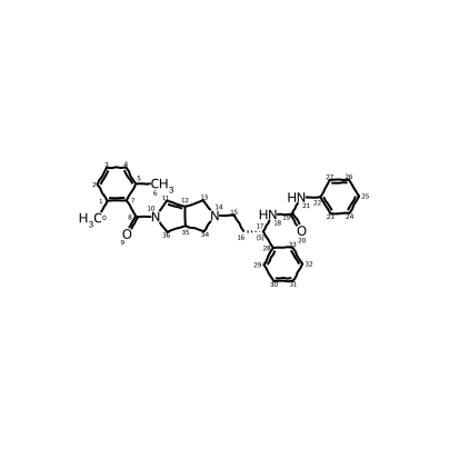 Cc1cccc(C)c1C(=O)N1C=C2CN(CC[C@H](NC(=O)Nc3ccccc3)c3ccccc3)CC2C1